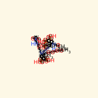 COCCNc1ccc2c(S(=O)(=O)O)cc(S(=O)(=O)O)cc2c1C(C)(C/C=C/C=C/C=C1/N(CCCCCC(=O)NCCN2C(=O)C=CC2=O)c2ccc3c(S(=O)(=O)O)cc(S(=O)(=O)O)cc3c2C1(C)CCOCCOCCOCCOC)CCCS(=O)(=O)O